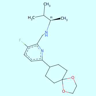 CC(C)[C@@H](C)NCc1nc(C2CCC3(CC2)OCCO3)ccc1F